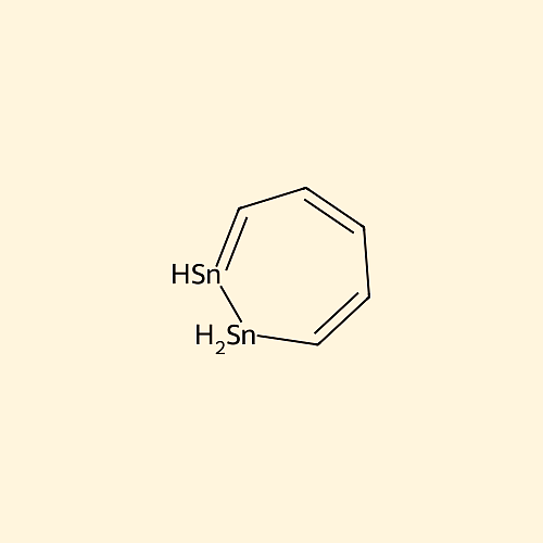 C1=C[CH]=[SnH][SnH2][CH]=C1